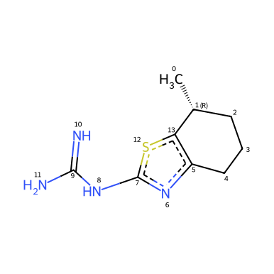 C[C@@H]1CCCc2nc(NC(=N)N)sc21